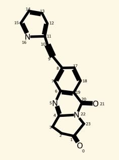 O=C1CCc2nc3cc(C#Cc4ccccn4)ccc3c(=O)n2C1